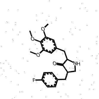 COc1cc(CC2NCC(Cc3ccc(F)cc3)C2=O)cc(OC)c1OC